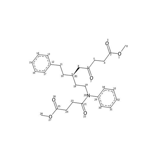 COC(=O)CCC(=O)C[C@H](CCc1ccccc1)CCN(C(=O)CCC(=O)OC)c1ccccc1